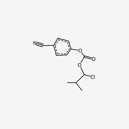 CC(C)C(Cl)OC(=O)Oc1ccc(C#N)cc1